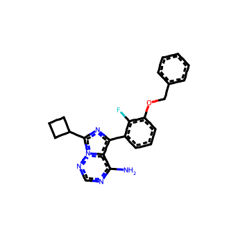 Nc1ncnn2c(C3CCC3)nc(-c3cccc(OCc4ccccc4)c3F)c12